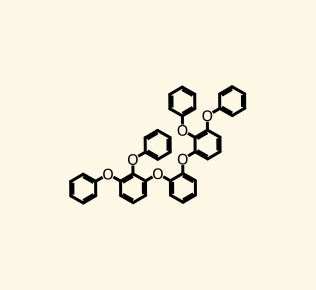 c1ccc(Oc2cccc(Oc3ccccc3Oc3cccc(Oc4ccccc4)c3Oc3ccccc3)c2Oc2ccccc2)cc1